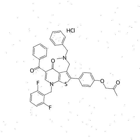 CC(=O)COc1ccc(-c2sc3c(c2CN(C)Cc2ccccc2)c(=O)c(C(=O)c2ccccc2)cn3Cc2c(F)cccc2F)cc1.Cl